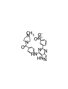 CN1CCN(C(=O)c2ccc(Nc3nc(-c4cccc([N+](=O)[O-])c4)nc4cn[nH]c34)cc2)CC1